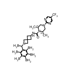 Bc1c(B)c(B)c(C(B)N2CC3(CC(NC(=O)N4[C@H](C)CN(c5ncc(C(F)(F)F)cn5)C[C@@H]4C)C3)C2)c(B)c1B